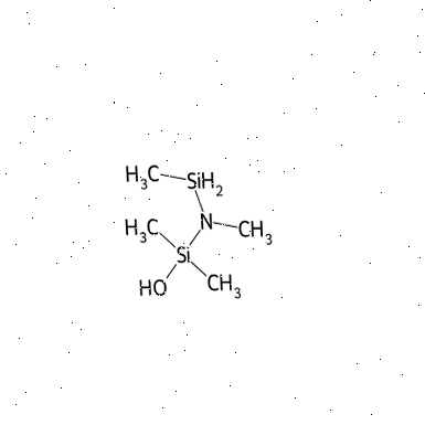 C[SiH2]N(C)[Si](C)(C)O